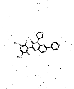 COc1cc(OC)c(F)c(-c2cc3cnc(-c4ccncc4)cc3n(C3CCOC3)c2=O)c1F